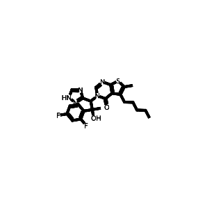 CCCCCc1c(C)sc2ncn(C(c3nc[nH]n3)C(C)(O)c3ccc(F)cc3F)c(=O)c12